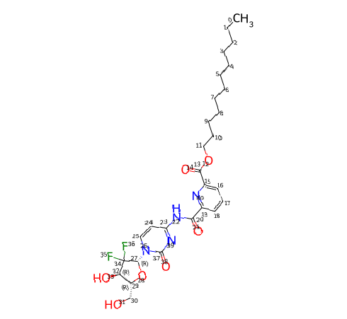 CCCCCCCCCCCCOC(=O)c1cccc(C(=O)Nc2ccn([C@@H]3O[C@H](CO)[C@@H](O)C3(F)F)c(=O)n2)n1